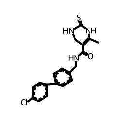 CC1=C(C(=O)NCc2ccc(-c3ccc(Cl)cc3)cc2)CNC(=S)N1